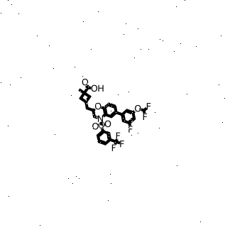 CC1(C(=O)O)CC(CC2CN(S(=O)(=O)c3cccc(C(F)(F)F)c3)c3cc(-c4cc(F)cc(OC(F)F)c4)ccc3O2)C1